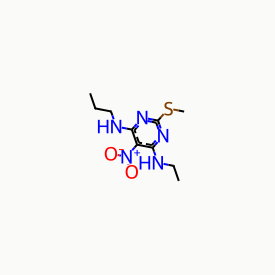 CCCNc1nc(SC)nc(NCC)c1[N+](=O)[O-]